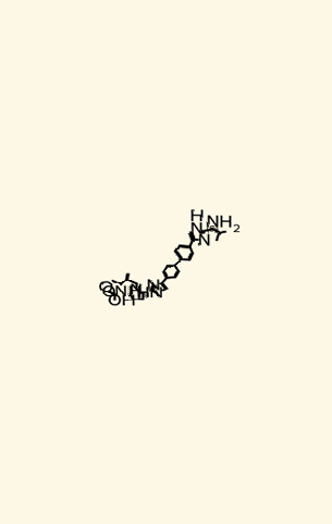 CC(CN1CCC[C@H]1c1nc(-c2ccc(-c3ccc(-c4c[nH]c([C@@H](N)C(C)C)n4)cc3)cc2)c[nH]1)C(C=O)NC(=O)O